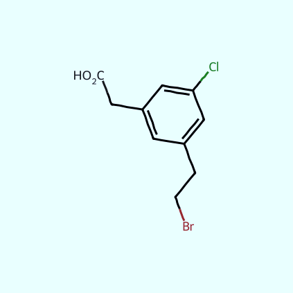 O=C(O)Cc1cc(Cl)cc(CCBr)c1